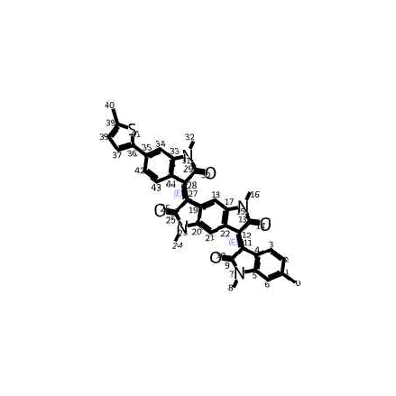 Cc1ccc2c(c1)N(C)C(=O)/C2=C1/C(=O)N(C)c2cc3c(cc21)N(C)C(=O)/C3=C1/C(=O)N(C)c2cc(-c3ccc(C)s3)ccc21